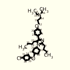 CCCCc1nc(-c2ccc(OCCCN(CC)CC)cc2)c(CCCC)n1-c1ccc(Oc2ccc(Cl)cc2)cc1